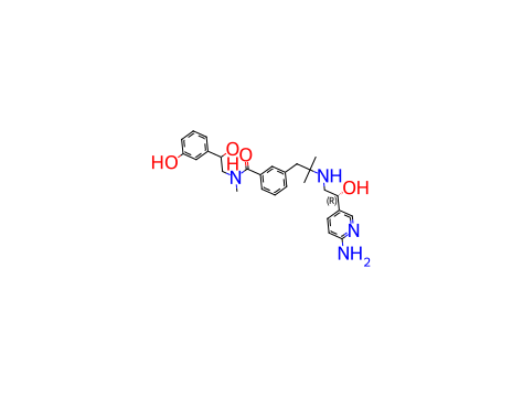 CN(CC(O)c1cccc(O)c1)C(=O)c1cccc(CC(C)(C)NC[C@H](O)c2ccc(N)nc2)c1